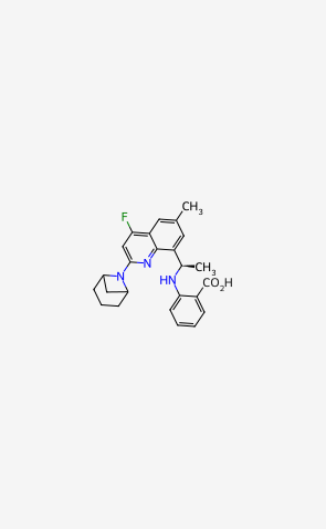 Cc1cc([C@@H](C)Nc2ccccc2C(=O)O)c2nc(N3C4CCCC3C4)cc(F)c2c1